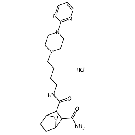 Cl.NC(=O)C1C2CCC(O2)C1C(=O)NCCCCN1CCN(c2ncccn2)CC1